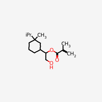 C=C(C)C(=O)OC(CO)C1CCCC(C)(C(C)C)C1